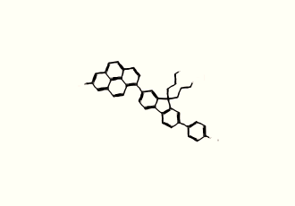 CC(C)(C)c1cc2ccc3ccc(-c4ccc5c(c4)C(CCCO)(CCCO)c4cc(-c6ccc(O)cc6)ccc4-5)c4ccc(c1)c2c34